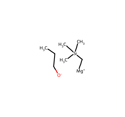 CCC[O-].C[Si](C)(C)[CH2][Mg+]